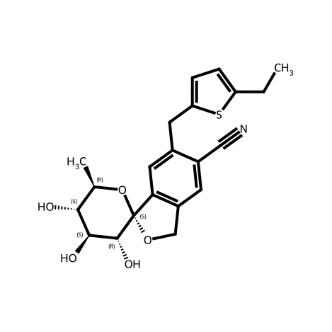 CCc1ccc(Cc2cc3c(cc2C#N)CO[C@]32O[C@H](C)[C@@H](O)[C@H](O)[C@H]2O)s1